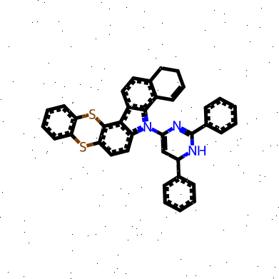 C1=Cc2c(ccc3c4c5c(ccc4n(C4=CC(c6ccccc6)NC(c6ccccc6)=N4)c23)Sc2ccccc2S5)CC1